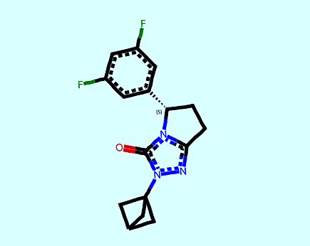 O=c1n(C23CC(C2)C3)nc2n1[C@H](c1cc(F)cc(F)c1)CC2